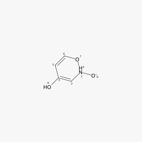 [O-][NH+]1C=C(O)C=CO1